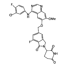 COc1cc2ncnc(Nc3ccc(F)c(Cl)c3)c2cc1OCc1cc(F)c2c(c1)CN(C1CCC(=O)NC1=O)C2=O